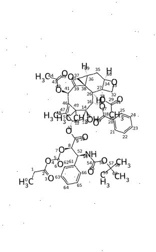 CCC(=O)OC(=O)O[C@@H](C(=O)O[C@H]1C[C@@]2(O)[C@@H](OC(=O)c3ccccc3)[C@@H]3[C@]4(OC(C)=O)CO[C@@H]4C[C@@H]4C[C@@]43C(=O)[C@H](OC(C)=O)C(=C1C)C2(C)C)[C@@H](NC(=O)OC(C)(C)C)c1ccccc1